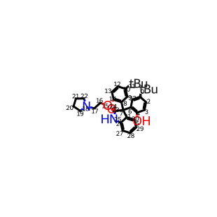 CC(C)(C)c1ccc(O)c(C2(c3cc(C(C)(C)C)ccc3OCCN3CCCC3)C(=O)Nc3ccccc32)c1